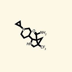 NC(=O)C12CC1(C(F)(F)F)CNC2C1CCN(C2CC2)CC1